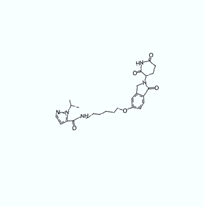 CC(C)n1nccc1C(=O)NCCCCCCOc1ccc2c(c1)CN(C1CCC(=O)NC1=O)C2=O